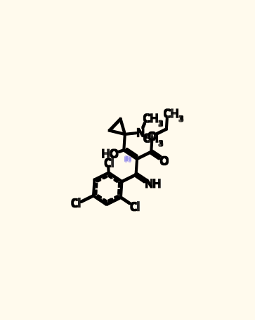 CCOC(=O)/C(C(=N)c1c(Cl)cc(Cl)cc1Cl)=C(/O)C1(N(C)C)CC1